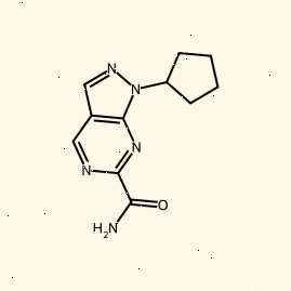 NC(=O)c1ncc2cnn(C3CCCC3)c2n1